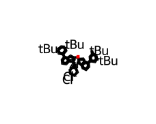 CC1=Cc2c(-c3cc(C(C)(C)C)cc(C(C)(C)C)c3)cccc2[CH]1[Zr+2]1([CH]2C(C)=Cc3c(-c4cc(C(C)(C)C)cc(C(C)(C)C)c4)cccc32)[CH]2CCCC[CH]21.[Cl-].[Cl-]